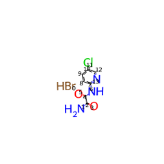 Br.NC(=O)C(=O)Nc1ccc(Cl)cn1